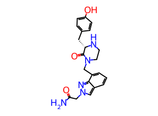 NC(=O)Cn1cc2cccc(CN3CCN[C@@H](Cc4ccc(O)cc4)C3=O)c2n1